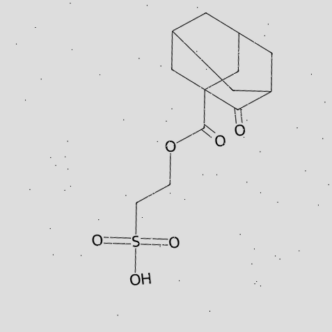 O=C(OCCS(=O)(=O)O)C12CC3CC(CC(C3)C1=O)C2